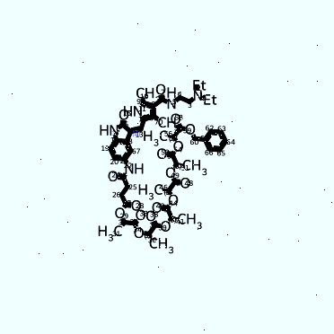 CCN(CC)CCNC(=O)c1c(C)[nH]c(/C=C2\C(=O)Nc3ccc(NC(=O)CCC(=O)OC(C)C(=O)O[C@@H](C)C(=O)O[C@@H](C)C(=O)O[C@@H](C)C(=O)O[C@@H](C)C(=O)O[C@@H](C)C(=O)OCc4ccccc4)cc32)c1C